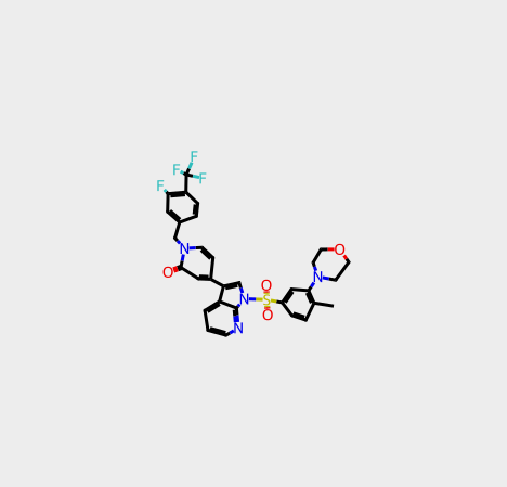 Cc1ccc(S(=O)(=O)n2cc(-c3ccn(Cc4ccc(C(F)(F)F)c(F)c4)c(=O)c3)c3cccnc32)cc1N1CCOCC1